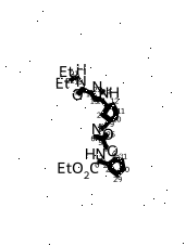 CCOC(=O)[C@H](NC(=O)c1cnc(-c2cccc(-c3cc(C(=O)NC(CC)CC)n[nH]3)c2)o1)c1ccccc1